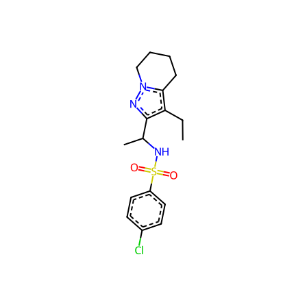 CCc1c(C(C)NS(=O)(=O)c2ccc(Cl)cc2)nn2c1CCCC2